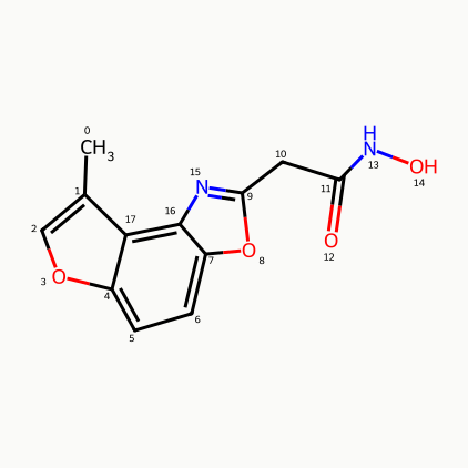 Cc1coc2ccc3oc(CC(=O)NO)nc3c12